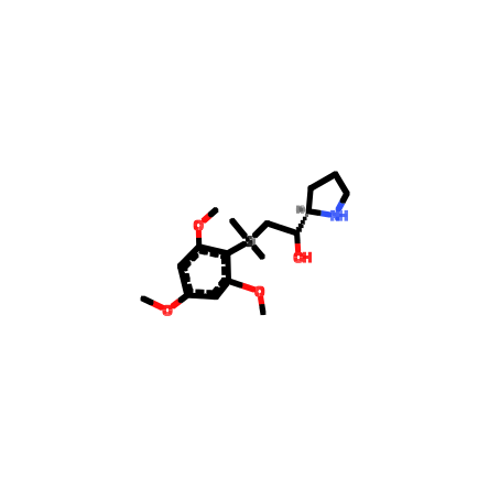 COc1cc(OC)c([Si](C)(C)CC(O)[C@@H]2CCCN2)c(OC)c1